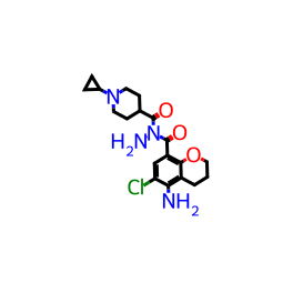 Nc1c(Cl)cc(C(=O)N(N)C(=O)C2CCN(C3CC3)CC2)c2c1CCCO2